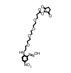 O=C(CCOCCOCCOCCOCCNc1ccc([N+](=O)[O-])cc1/N=N/O)ON1C(=O)CCC1=O